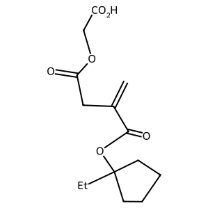 C=C(CC(=O)OCC(=O)O)C(=O)OC1(CC)CCCC1